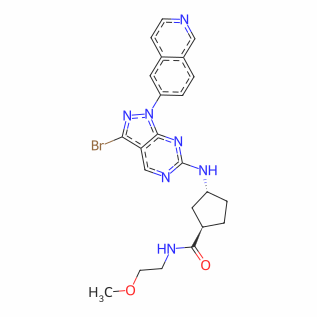 COCCNC(=O)[C@@H]1CC[C@@H](Nc2ncc3c(Br)nn(-c4ccc5cnccc5c4)c3n2)C1